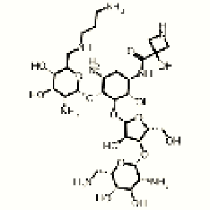 NCCCNC[C@H]1O[C@H](O[C@H]2[C@H](O[C@@H]3O[C@H](CO)[C@@H](O[C@H]4O[C@@H](CN)[C@@H](O)[C@H](O)[C@H]4N)[C@H]3O)[C@@H](O)[C@H](NC(=O)C3(O)CNC3)C[C@@H]2N)[C@H](N)[C@@H](O)[C@@H]1O